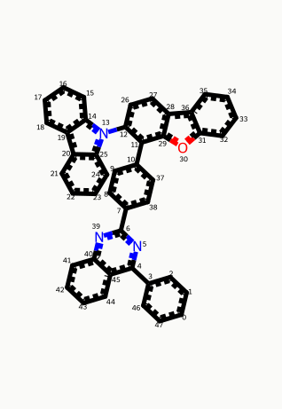 c1ccc(-c2nc(-c3ccc(-c4c(-n5c6ccccc6c6ccccc65)ccc5c4oc4ccccc45)cc3)nc3ccccc23)cc1